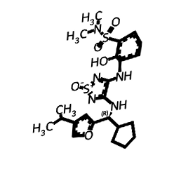 CC(C)c1coc([C@H](Nc2n[s+]([O-])nc2Nc2cccc(S(=O)(=O)N(C)C)c2O)C2CCCC2)c1